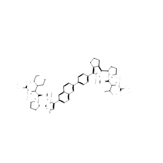 COC(=O)NC(C(=O)N1CCCC1c1[nH]c(-c2ccc(-c3ccc4cc(-c5cnc([C@@H]6CCCN6C(=O)C(NC(=O)OC)C6CCOCC6)[nH]5)ccc4c3)cc2)c2c1CCC2)C(C)C